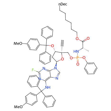 C#C[C@]1(COP(=O)(N[C@@H](C)C(=O)OCCCCCCCCCCCCCCCC)Oc2ccccc2)O[C@@H](n2cnc3c(NC(c4ccccc4)(c4ccccc4)c4ccc(OC)cc4)nc(F)nc32)C[C@@H]1OC(c1ccccc1)(c1ccccc1)c1ccc(OC)cc1